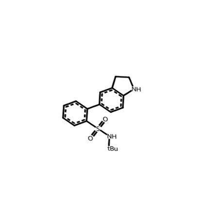 CC(C)(C)NS(=O)(=O)c1ccccc1-c1ccc2c(c1)CCN2